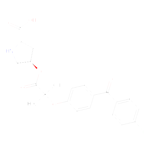 CC(C)(Oc1ccc(C(=O)c2ccc(Cl)cc2)cc1)C(=O)O[C@H]1CN[C@H](C(=O)O)C1